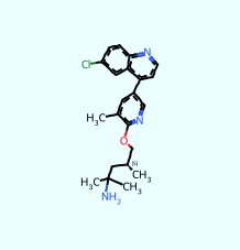 Cc1cc(-c2ccnc3ccc(Cl)cc23)cnc1OC[C@@H](C)CC(C)(C)N